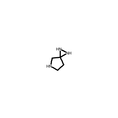 C1CC2(CN1)NN2